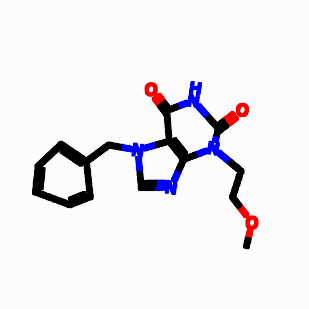 COCCn1c(=O)[nH]c(=O)c2c1ncn2Cc1ccccc1